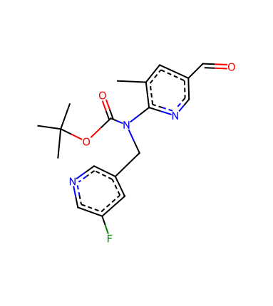 Cc1cc(C=O)cnc1N(Cc1cncc(F)c1)C(=O)OC(C)(C)C